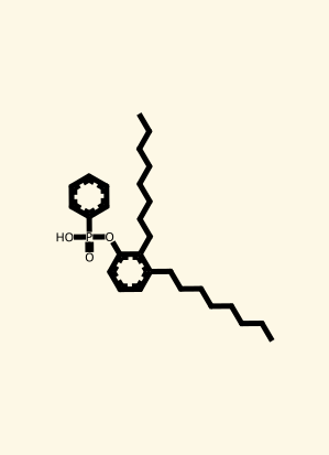 CCCCCCCCc1cccc(OP(=O)(O)c2ccccc2)c1CCCCCCCC